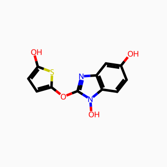 Oc1ccc2c(c1)nc(Oc1ccc(O)s1)n2O